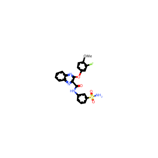 COc1ccc(Oc2nc3ccccc3nc2C(=O)Nc2cccc(S(N)(=O)=O)c2)cc1F